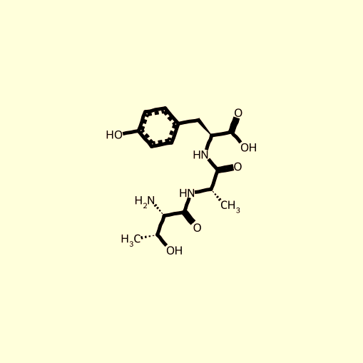 C[C@H](NC(=O)[C@@H](N)[C@@H](C)O)C(=O)N[C@@H](Cc1ccc(O)cc1)C(=O)O